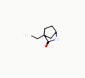 CC(C)(C)CC12CCC(C1)NC2=O